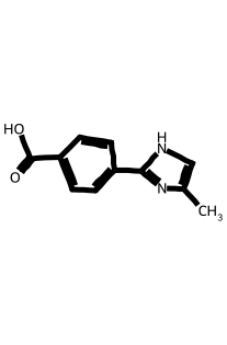 Cc1c[nH]c(-c2ccc(C(=O)O)cc2)n1